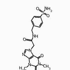 Cn1c(=O)c2c(ncn2CC(=O)NCc2ccc(S(N)(=O)=O)cc2)n(C)c1=O